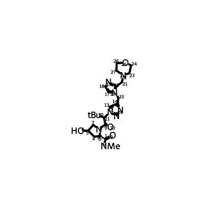 CNC(=O)[C@H]1CC(O)CN1C(=O)C(n1cc(Cn2ccnc2CN2CCOCC2)nn1)C(C)(C)C